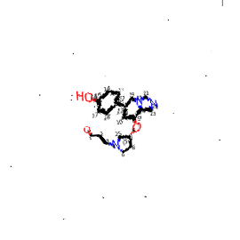 O=CC=CN1CC[C@H](Oc2cc(-c3ccc(O)cc3)cn3cncc23)C1